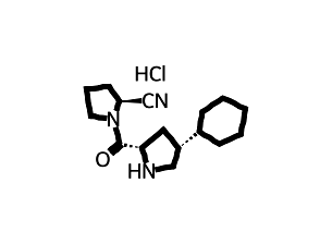 Cl.N#C[C@@H]1CCCN1C(=O)[C@@H]1C[C@H](C2CCCCC2)CN1